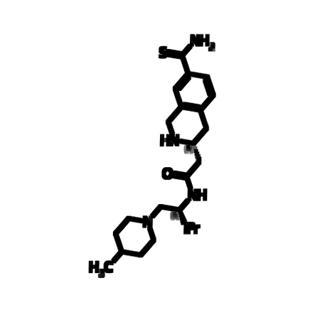 CC1CCN(C[C@@H](NC(=O)C[C@H]2Cc3ccc(C(N)=S)cc3CN2)C(C)C)CC1